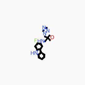 Fc1cc2[nH]c3ccccc3c2cc1NCC1(Cn2cncn2)COC1